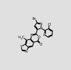 Cc1c2nc(-c3cc(Br)nn3-c3ncccc3Cl)oc(=O)c2cc2ncsc12